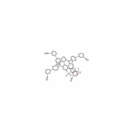 N#Cc1cccc(-c2ccc3c(c2)c2cc(-c4cccc(C#N)c4)ccc2n3-c2ccc(-c3ccc(C(F)(F)F)cc3C(F)(F)F)cc2-c2c(C#N)cccc2-n2c3ccc(-c4cccc(C#N)c4)cc3c3cc(-c4cccc(C#N)c4)ccc32)c1